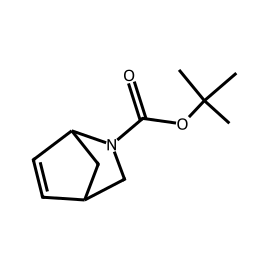 CC(C)(C)OC(=O)N1CC2C=CC1C2